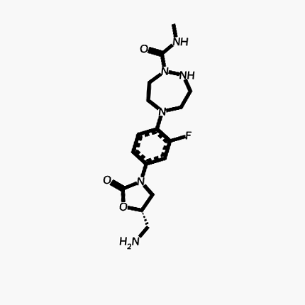 CNC(=O)N1CCN(c2ccc(N3C[C@H](CN)OC3=O)cc2F)CCN1